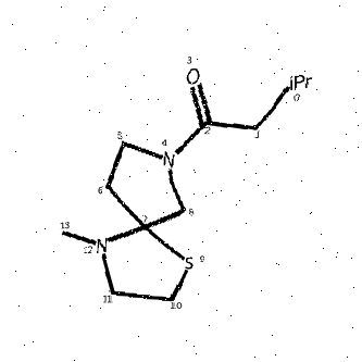 CC(C)CC(=O)N1CCC2(C1)SCCN2C